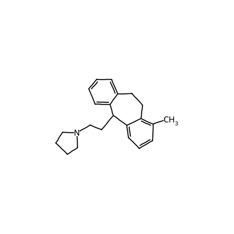 Cc1cccc2c1CCc1ccccc1C2CCN1CCCC1